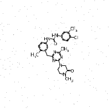 Cc1nc(Cc2cc(NC(=O)Nc3ccc(Cl)c(C(F)(F)F)c3)ccc2C)nc(N2CCN(C)C(=O)C2)n1